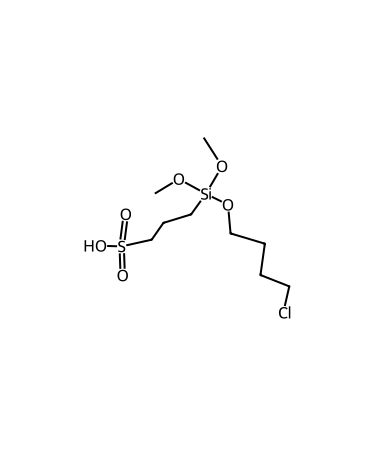 CO[Si](CCCS(=O)(=O)O)(OC)OCCCCCl